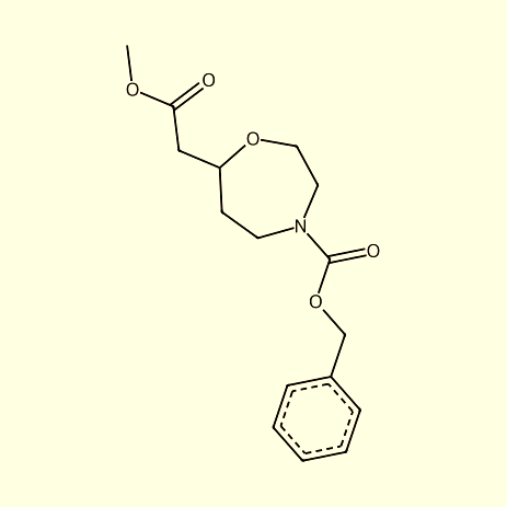 COC(=O)CC1CCN(C(=O)OCc2ccccc2)CCO1